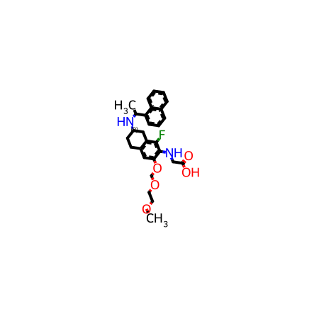 COCCOCOc1cc2c(c(F)c1NCC(=O)O)C[C@H](NC(C)c1cccc3ccccc13)CC2